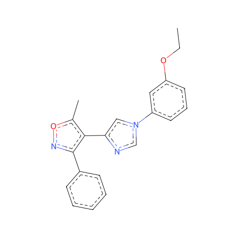 CCOc1cccc(-n2cnc(-c3c(-c4ccccc4)noc3C)c2)c1